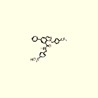 O=C(O)c1ccc(CNC(=O)c2cc(-c3ccccc3)cc3cnn(Cc4ccc(C(F)(F)F)cc4)c23)cc1